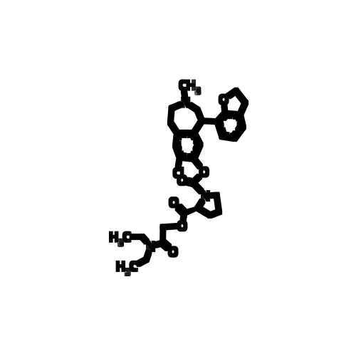 CCN(CC)C(=O)COC(=O)[C@@H]1CCCN1C(=O)Oc1cc2c(cc1Cl)CCN(C)CC2c1cccc2c1OCC2